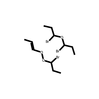 C/C=C/OOC(Br)CC.CCC(Br)OC(Br)CC